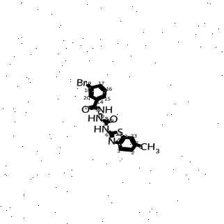 Cc1ccc2nc(NC(=O)NNC(=O)c3cccc(Br)c3)sc2c1